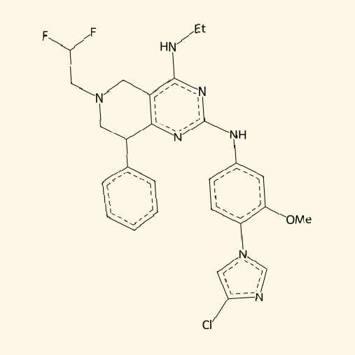 CCNc1nc(Nc2ccc(-n3cnc(Cl)c3)c(OC)c2)nc2c1CN(CC(F)F)CC2c1ccccc1